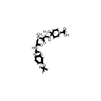 CN(CC(=O)Nc1nc2ccc(OC(F)(F)F)cc2s1)C(=O)CNC1(C)CCN(C(=O)O)CC1